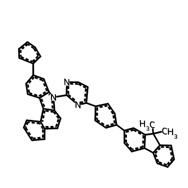 CC1(C)c2ccccc2-c2ccc(-c3ccc(-c4ccnc(-n5c6cc(-c7ccccc7)ccc6c6c7ccccc7ccc65)n4)cc3)cc21